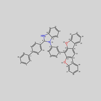 c1ccc(-c2ccc(C3Nc4ccccc4N3c3cccc(-c4c5oc6ccccc6c5cc5c4oc4ccccc45)c3)cc2)cc1